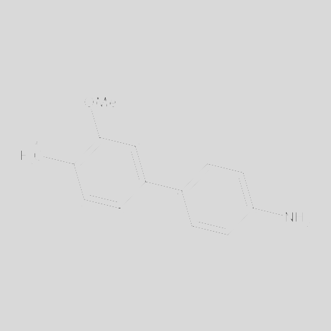 COc1cc(-c2ccc(N)cc2)ccc1C(F)(F)F